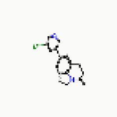 C=C1CCc2cc(-c3cncc(Br)c3)cc3c2N1CC3